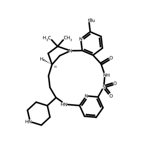 CC(C)(C)c1ccc2c(n1)N1C[C@@H](CCC(C3CCNCC3)Nc3cccc(n3)S(=O)(=O)NC2=O)CC1(C)C